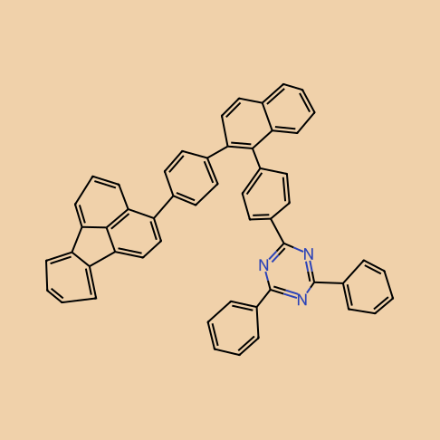 c1ccc(-c2nc(-c3ccccc3)nc(-c3ccc(-c4c(-c5ccc(-c6ccc7c8c(cccc68)-c6ccccc6-7)cc5)ccc5ccccc45)cc3)n2)cc1